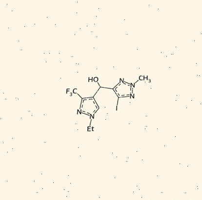 CCn1cc(C(O)c2nn(C)nc2I)c(C(F)(F)F)n1